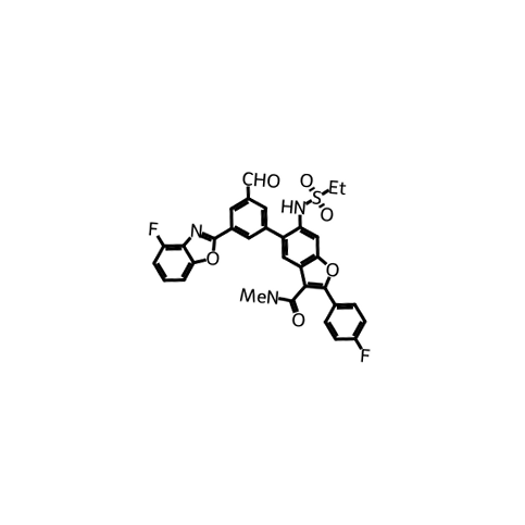 CCS(=O)(=O)Nc1cc2oc(-c3ccc(F)cc3)c(C(=O)NC)c2cc1-c1cc(C=O)cc(-c2nc3c(F)cccc3o2)c1